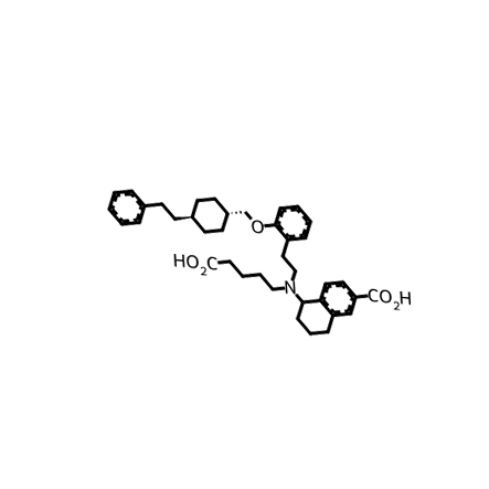 O=C(O)CCCCN(CCc1ccccc1OC[C@H]1CC[C@H](CCc2ccccc2)CC1)C1CCCc2cc(C(=O)O)ccc21